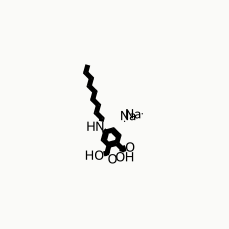 CCCCCCCCCNc1ccc(C(=O)O)c(C(=O)O)c1.[Na].[Na]